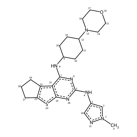 Cn1cc(Nc2nc(NC3CCC(N4CCOCC4)CC3)c3c4c(sc3n2)CCC4)cn1